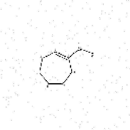 CSC1=CCCCCC1